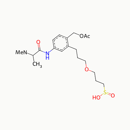 CNC(C)C(=O)Nc1ccc(COC(C)=O)c(CCCOCCCS(=O)O)c1